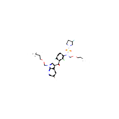 C[Si](C)(C)CCOCN(c1ccc(F)c(C(=O)c2cn(COCC[Si](C)(C)C)c3ncc(Br)cc23)c1Cl)S(=O)(=O)N1CCC(F)C1